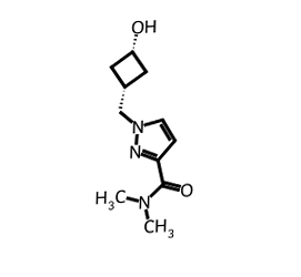 CN(C)C(=O)c1ccn(C[C@H]2C[C@@H](O)C2)n1